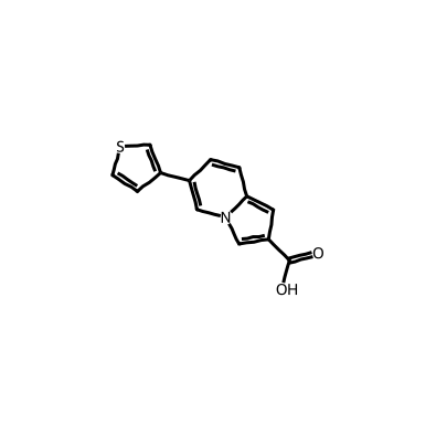 O=C(O)c1cc2ccc(-c3ccsc3)cn2c1